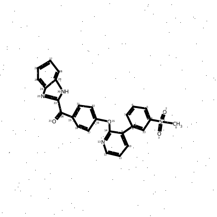 CS(=O)(=O)c1cccc(-c2cccnc2Oc2ccc(C(=O)c3nc4ccccc4[nH]3)cc2)c1